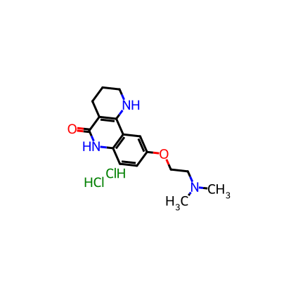 CN(C)CCOc1ccc2[nH]c(=O)c3c(c2c1)NCCC3.Cl.Cl